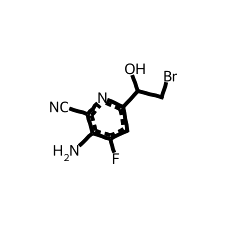 N#Cc1nc(C(O)CBr)cc(F)c1N